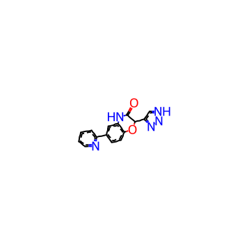 O=C1Nc2cc(-c3ccccn3)ccc2OC1c1c[nH]nn1